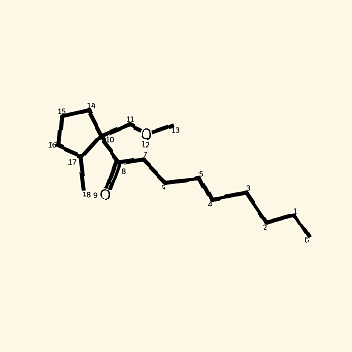 CCCCCCCCC(=O)C1(COC)CCCC1C